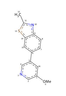 COc1cncc(-c2ccc3nc(C)sc3c2)c1